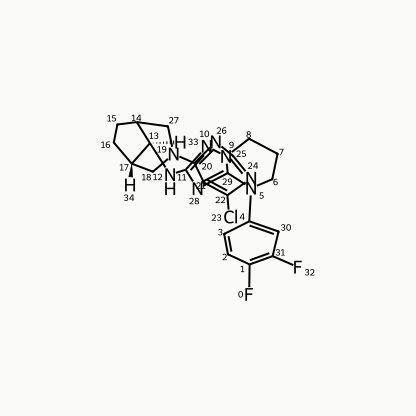 Fc1ccc(N2CCCn3nc(N[C@@H]4C5CC[C@H]4CN(c4cc(Cl)ncn4)C5)nc32)cc1F